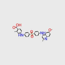 COc1ccc2nc(C)cc(Nc3ccc(S(=O)(=O)c4ccc(Nc5ccc(C(=O)O)c(C)c5)cc4)cc3)c2c1